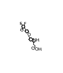 COc1cc(F)c(F)cc1-c1ccc(OCc2ccc3c(CCC(=O)O)c[nH]c3c2)cc1